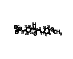 COc1ccc(C=CC(=O)Nc2ccc(CO[N+](=O)[O-])cc2)cc1